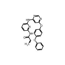 C=CC(=O)Nc1cccc(Nc2cc(Oc3ccc(Oc4ccccc4)cc3)ncn2)n1